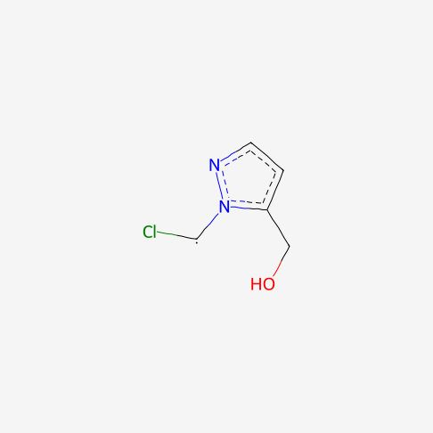 OCc1ccnn1[CH]Cl